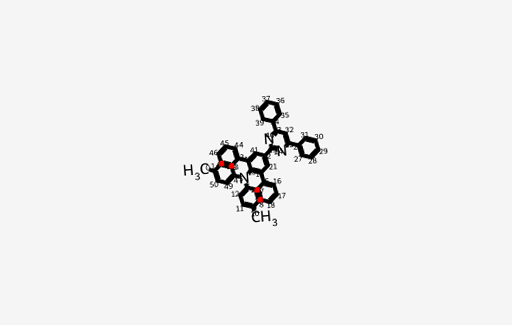 Cc1ccc(N(c2ccc(C)cc2)c2c(-c3ccccc3)cc(-c3nc(-c4ccccc4)cc(C4C=CC=CC4)n3)cc2-c2ccccc2)cc1